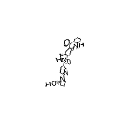 CC(C)(NC(=O)c1cc2[nH]c3ccccc3c(=O)c2cc1F)c1ccc(N2CCC[C@@H]2CO)nc1